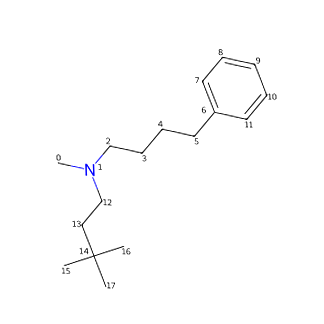 CN(CCCCc1ccccc1)CCC(C)(C)C